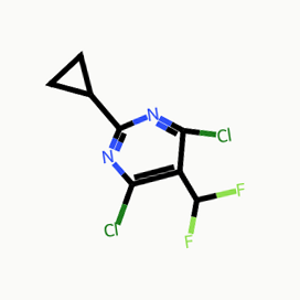 FC(F)c1c(Cl)nc(C2CC2)nc1Cl